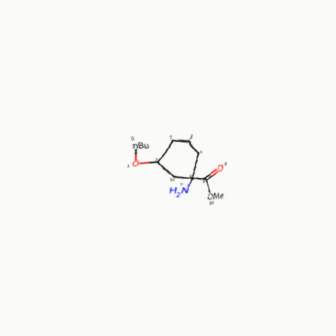 CCCCOC1CCCC(N)(C(=O)OC)C1